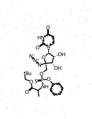 CC(NP(=S)(OC[C@@]1(N=[N+]=[N-])O[C@@H](n2ccc(=O)[nH]c2=O)[C@H](O)[C@@H]1O)Oc1ccccc1)C(=O)OCC(C)(C)C